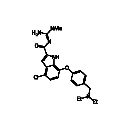 CCN(CC)Cc1ccc(Oc2ccc(Cl)c3cc(C(=O)N=C(N)NC)[nH]c23)cc1